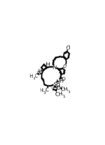 COC1/C=C/CC(C)[C@@H](C[C@@H](C)OC)S(=O)(=O)NC(=O)c2ccc3c(c2)N(CCCCc2cc(Cl)ccc2CO3)C[C@@H]2CC[C@@H]12